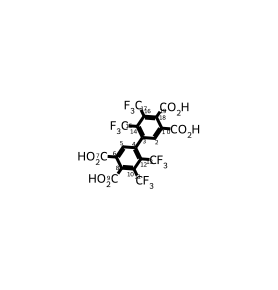 O=C(O)c1cc(-c2cc(C(=O)O)c(C(=O)O)c(C(F)(F)F)c2C(F)(F)F)c(C(F)(F)F)c(C(F)(F)F)c1C(=O)O